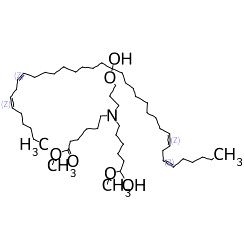 CCCCC/C=C\C/C=C\CCCCCCCCC(O)(CCCCCCCC/C=C\C/C=C\CCCCC)OCCCN(CCCCCC(=O)OC)CCCCCC(O)OC